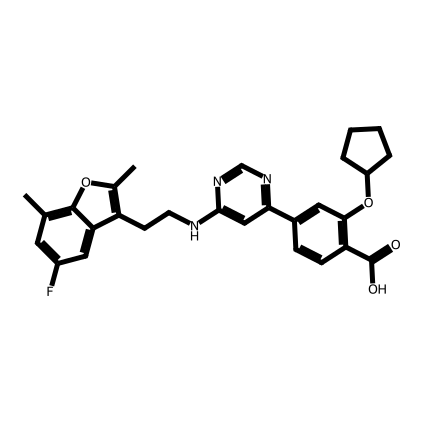 Cc1oc2c(C)cc(F)cc2c1CCNc1cc(-c2ccc(C(=O)O)c(OC3CCCC3)c2)ncn1